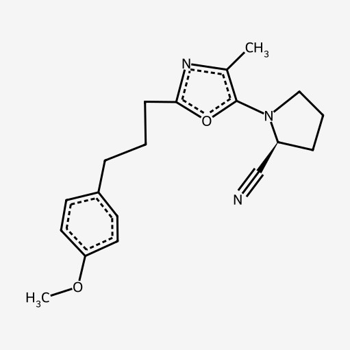 COc1ccc(CCCc2nc(C)c(N3CCC[C@H]3C#N)o2)cc1